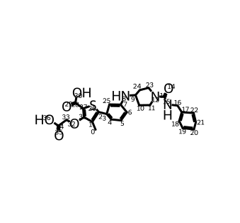 Cc1c(-c2cccc(NC3CCN(C(=O)NCc4ccccc4)CC3)c2)sc(C(=O)O)c1OCC(=O)O